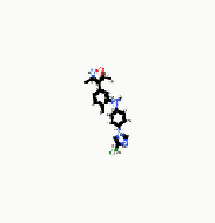 Cc1ccc(-c2c(C)noc2C)cc1N(C)c1ccc(-n2cnc(Cl)c2)cc1